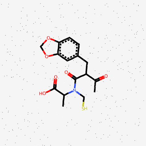 CC(=O)C(Cc1ccc2c(c1)OCO2)C(=O)N(CS)C(C)C(=O)O